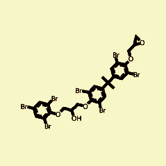 CC(C)(c1cc(Br)c(OCC(O)COc2c(Br)cc(Br)cc2Br)c(Br)c1)c1cc(Br)c(OCC2CO2)c(Br)c1